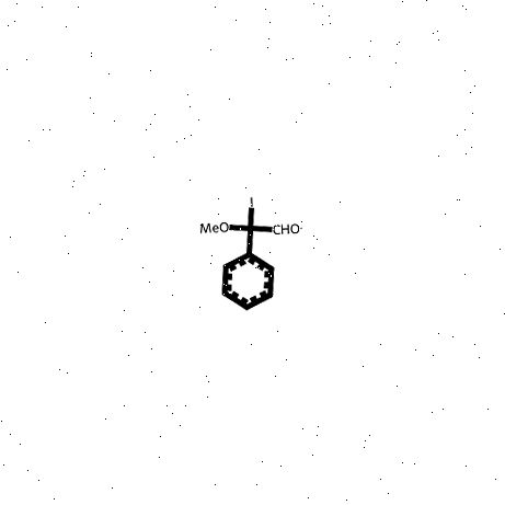 COC(I)([C]=O)c1ccccc1